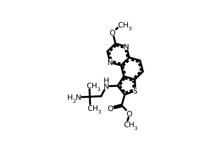 COC(=O)c1sc2ccc3nc(OC)cnc3c2c1NCC(C)(C)N